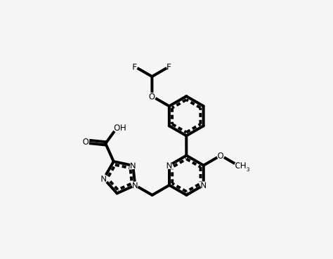 COc1ncc(Cn2cnc(C(=O)O)n2)nc1-c1cccc(OC(F)F)c1